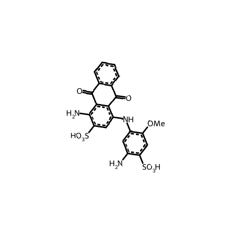 COc1cc(S(=O)(=O)O)c(N)cc1Nc1cc(S(=O)(=O)O)c(N)c2c1C(=O)c1ccccc1C2=O